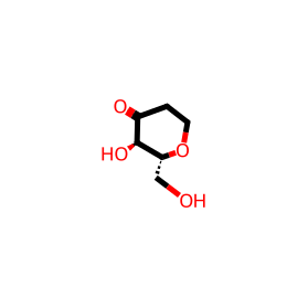 O=C1CCO[C@H](CO)[C@H]1O